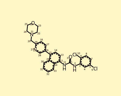 O=C(Nc1cc(Cl)ccc1Cl)Nc1ccc(-c2ccc(CN3CCOCC3)nc2)c2ccccc12